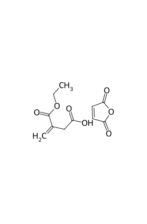 C=C(CC(=O)O)C(=O)OCC.O=C1C=CC(=O)O1